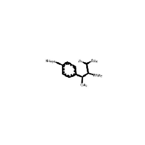 CCCCCCCc1ccc(C(OC(C)=O)C(NC(C)=O)C(OC(C)=O)C(C)C)cc1